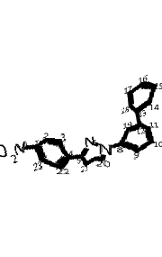 O=[N+]([O-])c1ccc(C2=NN(c3cccc(-c4ccccc4)c3)CC2)cc1